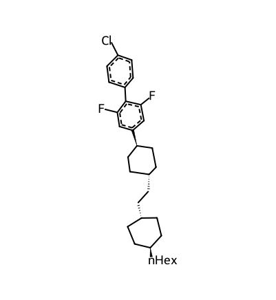 CCCCCC[C@H]1CC[C@H](CC[C@H]2CC[C@H](c3cc(F)c(-c4ccc(Cl)cc4)c(F)c3)CC2)CC1